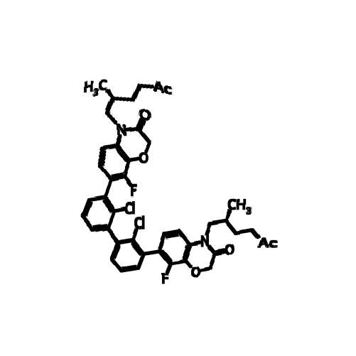 CC(=O)CC[C@H](C)CN1C(=O)COc2c1ccc(-c1cccc(-c3cccc(-c4ccc5c(c4F)OCC(=O)N5C[C@@H](C)CCC(C)=O)c3Cl)c1Cl)c2F